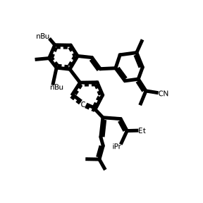 CCCCc1cc(/C=C/C2=CC(=C(\C)C#N)/C=C(C)C2)c(-c2ccc(C(/C=C(/CC)C(C)C)=C/C=C(C)C)cc2)c(CCCC)c1C